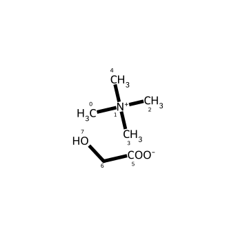 C[N+](C)(C)C.O=C([O-])CO